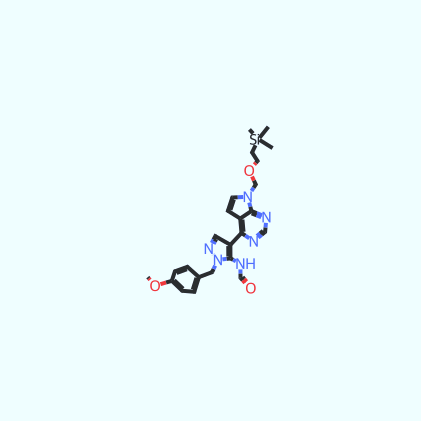 COc1ccc(Cn2ncc(-c3ncnc4c3ccn4COCC[Si](C)(C)C)c2NC=O)cc1